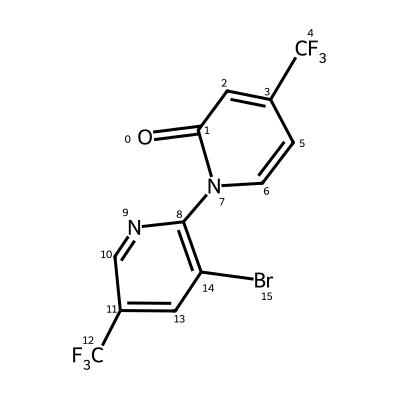 O=c1cc(C(F)(F)F)ccn1-c1ncc(C(F)(F)F)cc1Br